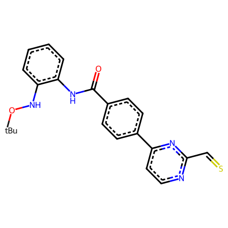 CC(C)(C)ONc1ccccc1NC(=O)c1ccc(-c2ccnc(C=S)n2)cc1